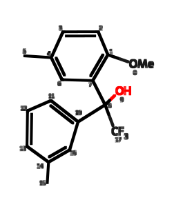 COc1ccc(C)cc1C(O)(c1cccc(C)c1)C(F)(F)F